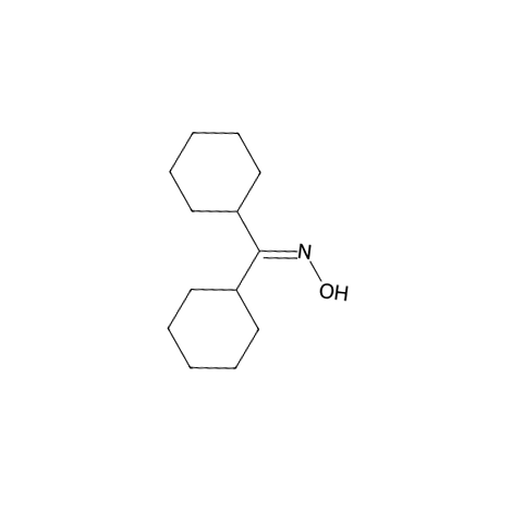 ON=C(C1CCCCC1)C1CCCCC1